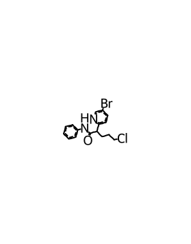 O=C(Nc1ccccc1)C(CCCCl)c1ccc(Br)cn1